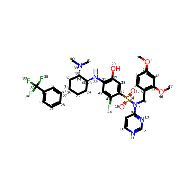 COc1ccc(CN(c2ccncn2)S(=O)(=O)c2cc(O)c(N[C@H]3CC[C@H](c4cccc(C(F)(F)F)c4)C[C@@H]3N(C)C)cc2F)c(OC)c1